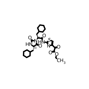 CCOC(=O)C(=O)c1csc(NC(=O)[C@H](CC2CCCCC2)N2C(=O)N[C@@H](CC3CCCCC3)C2=O)n1